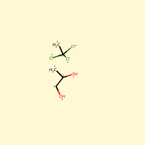 CC(Cl)(Cl)Cl.CC(O)CO